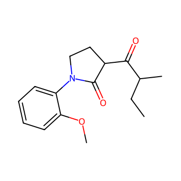 CCC(C)C(=O)C1CCN(c2ccccc2OC)C1=O